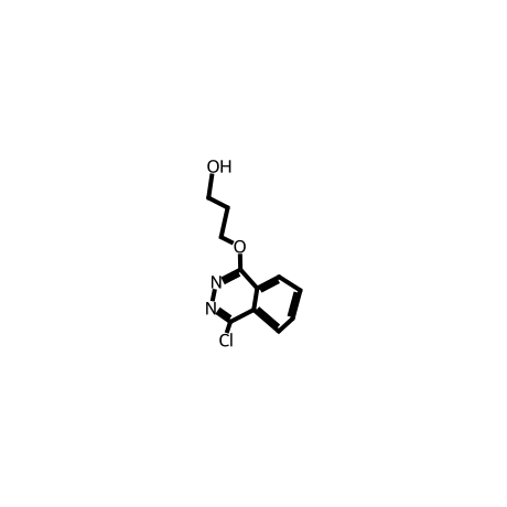 OCCCOc1nnc(Cl)c2ccccc12